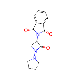 O=C1c2ccccc2C(=O)N1C1CN(N2CCCC2)C1=O